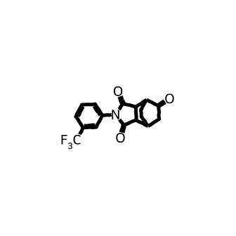 O=C1CC2CCC1C1C(=O)N(c3cccc(C(F)(F)F)c3)C(=O)C21